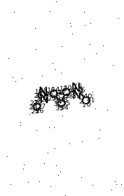 c1ccc(-c2ccnc(-c3ccc4c5ccc(-c6nccc(-c7ccccc7)n6)cc5c5ccccc5c4c3)n2)cc1